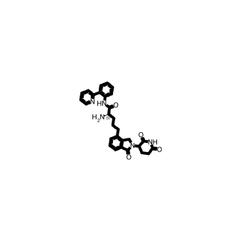 N[C@@H](CCCc1cccc2c1CN(C1CCC(=O)NC1=O)C2=O)C(=O)Nc1ccccc1-c1ccccn1